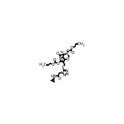 C=CCOC(=O)OC1=C(CSc2nnnn2CC(=O)NC2CC2)C2OCN(OC(=O)OCC=C)[C@@H]3C(=O)N1[C@H]23